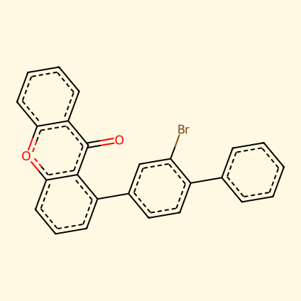 O=c1c2ccccc2oc2cccc(-c3ccc(-c4ccccc4)c(Br)c3)c12